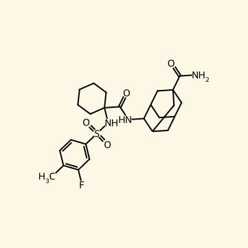 Cc1ccc(S(=O)(=O)NC2(C(=O)NC3C4CC5CC3CC(C(N)=O)(C5)C4)CCCCC2)cc1F